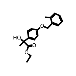 CCOC(=O)C(C)(O)c1ccc(OCc2ccccc2C)cc1